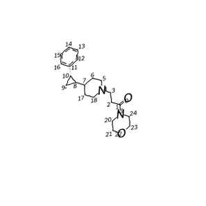 O=C(CCN1CCC(C2[CH][C@@H]2c2ccccc2)CC1)N1CCOCC1